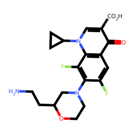 NCCC1CN(c2c(F)cc3c(=O)c(C(=O)O)cn(C4CC4)c3c2F)CCO1